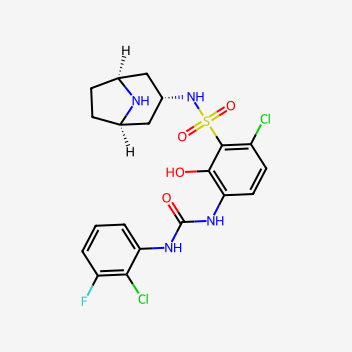 O=C(Nc1ccc(Cl)c(S(=O)(=O)N[C@@H]2C[C@H]3CC[C@@H](C2)N3)c1O)Nc1cccc(F)c1Cl